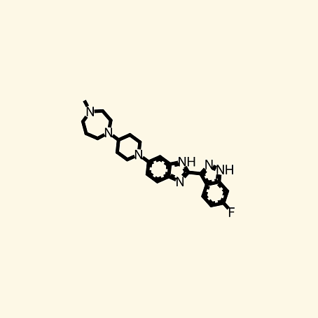 CN1CCCN(C2CCN(c3ccc4nc(-c5n[nH]c6cc(F)ccc56)[nH]c4c3)CC2)CC1